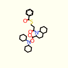 O=C(SCCC(=O)N1C(C(=O)ON(C2CCCCC2)C2CCCCC2)CCC2CCCCC21)c1ccccc1